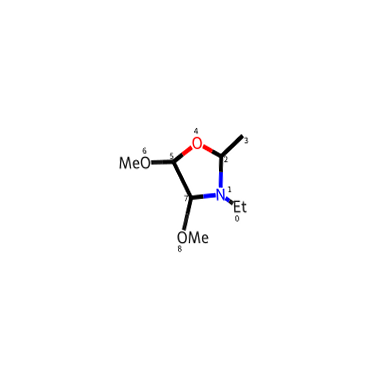 CCN1C(C)OC(OC)C1OC